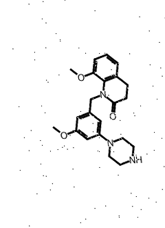 COc1cc(CN2C(=O)CCc3cccc(OC)c32)cc(N2CCNCC2)c1